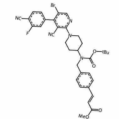 COC(=O)/C=C/c1ccc(CN(C(=O)OC(C)(C)C)C2CCN(c3ncc(Br)c(-c4ccc(C#N)c(F)c4)c3C#N)CC2)cc1